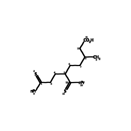 CCCC(=S)CCC(CCC(C)CC(=O)O)C(=S)CCC